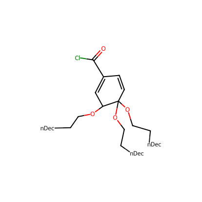 CCCCCCCCCCCCOC1C=C(C(=O)Cl)C=CC1(OCCCCCCCCCCCC)OCCCCCCCCCCCC